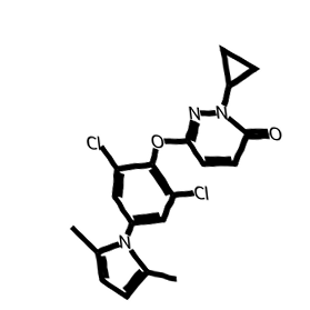 Cc1ccc(C)n1-c1cc(Cl)c(Oc2ccc(=O)n(C3CC3)n2)c(Cl)c1